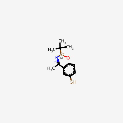 C/C(=N/[S@+]([O-])C(C)(C)C)c1cccc(S)c1